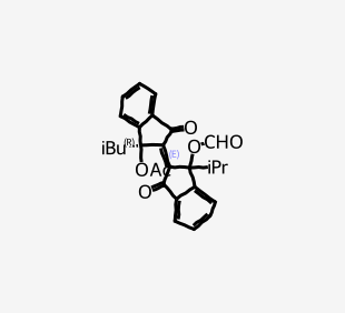 CC[C@@H](C)C1(OC(C)=O)/C(=C2\C(=O)c3ccccc3C2(OC=O)C(C)C)C(=O)c2ccccc21